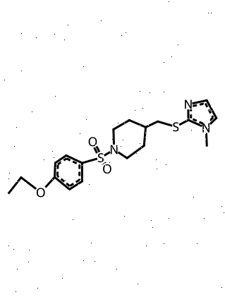 CCOc1ccc(S(=O)(=O)N2CCC(CSc3nccn3C)CC2)cc1